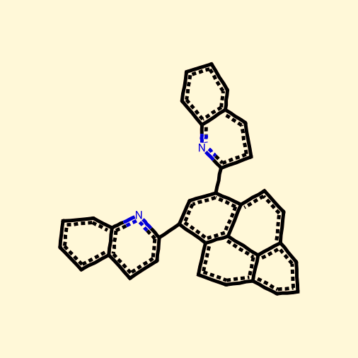 c1ccc2nc(-c3cc(-c4ccc5ccccc5n4)c4ccc5cccc6ccc3c4c65)ccc2c1